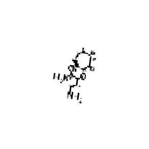 NCCC(OC1C#CCCCCC1)C(N)=O